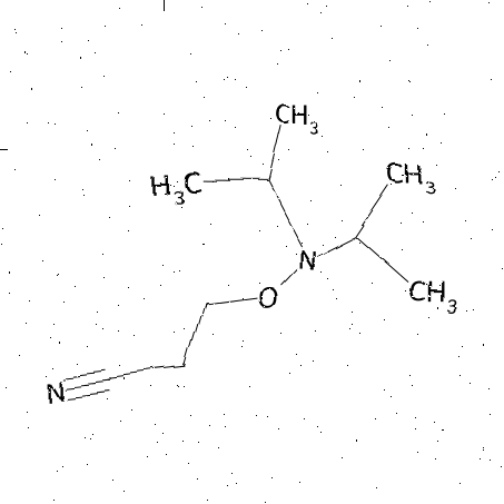 CC(C)N(OCCC#N)C(C)C